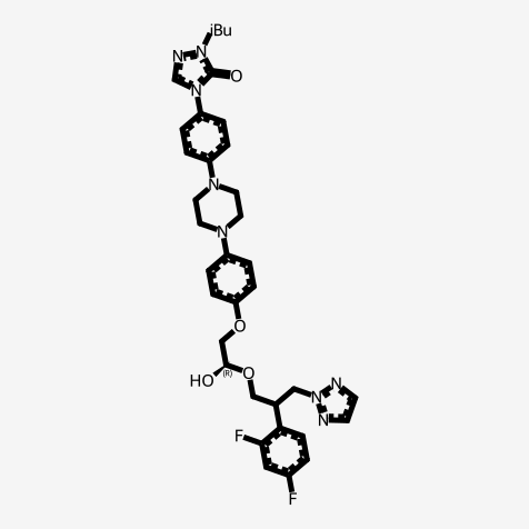 CCC(C)n1ncn(-c2ccc(N3CCN(c4ccc(OC[C@H](O)OCC(Cn5nccn5)c5ccc(F)cc5F)cc4)CC3)cc2)c1=O